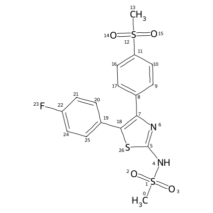 CS(=O)(=O)Nc1nc(-c2ccc(S(C)(=O)=O)cc2)c(-c2ccc(F)cc2)s1